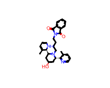 CC1=CC=CN[C@H]1C1C[C@H](O)C[C@@H](c2ncccc2C)N1CCCCN1C(=O)c2ccccc2C1=O